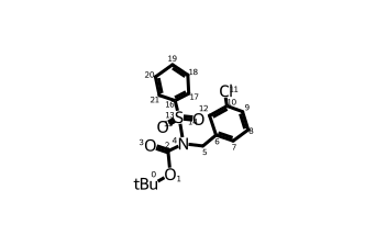 CC(C)(C)OC(=O)N(Cc1cccc(Cl)c1)S(=O)(=O)c1ccccc1